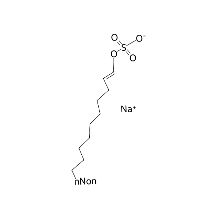 CCCCCCCCCCCCCCCCCC=COS(=O)(=O)[O-].[Na+]